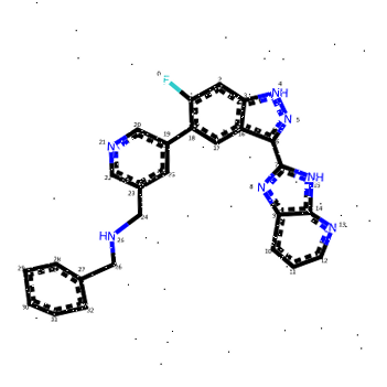 Fc1cc2[nH]nc(-c3nc4cccnc4[nH]3)c2cc1-c1cncc(CNCc2ccccc2)c1